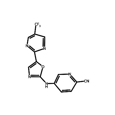 N#Cc1ccc(Nc2ncc(-c3ncc(C(F)(F)F)cn3)o2)cn1